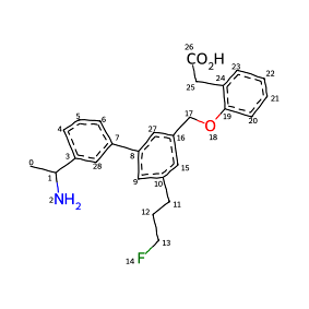 CC(N)c1cccc(-c2cc(CCCF)cc(COc3ccccc3CC(=O)O)c2)c1